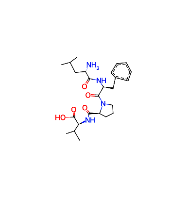 CC(C)C[C@H](N)C(=O)N[C@@H](Cc1ccccc1)C(=O)N1CCC[C@H]1C(=O)N[C@H](C(=O)O)C(C)C